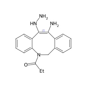 CCC(=O)N1Cc2ccccc2/C(N)=C(/NN)c2ccccc21